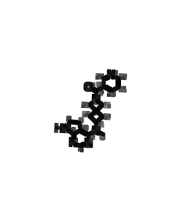 CN(c1ncnc2[nH]ccc12)C1CC2(C1)CN(C(=O)c1cccnc1)C2